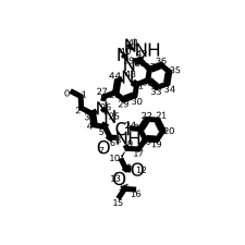 CCCc1cc(C(=O)N[C@@H](CC(=O)OC(C)C)Cc2ccccc2Cl)nn1Cc1ccc(-c2ccccc2-c2nnn[nH]2)nc1